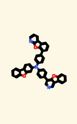 c1ccc2c(c1)oc1cc(N(c3ccc(-c4cncc5c4oc4ccccc45)cc3)c3ccc(-c4cccc5c4oc4ncccc45)cc3)ccc12